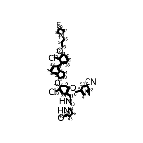 N#Cc1cncc(COc2cc(O[C@H]3CCc4c(-c5cccc(OCCCN6CC(F)C6)c5Cl)cccc43)c(Cl)cc2CNC[C@@H]2CCC(=O)N2)c1